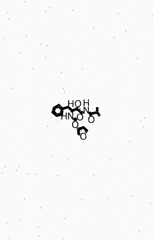 CC(C)C(=O)NC[C@H](O)C(Cc1ccccc1)NC(=O)O[C@H]1CCOC1